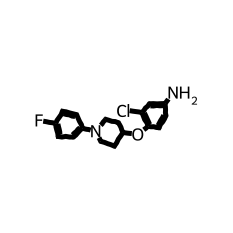 Nc1ccc(OC2CCN(c3ccc(F)cc3)CC2)c(Cl)c1